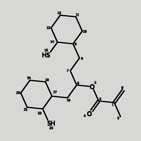 C=C(C)C(=O)OC(CCC1CCCCC1S)CC1CCCCC1S